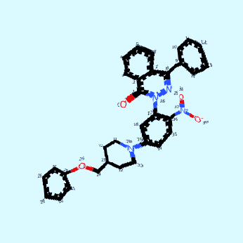 O=c1c2ccccc2c(-c2ccccc2)nn1-c1cc(N2CCC(COc3ccccc3)CC2)ccc1[N+](=O)[O-]